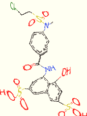 CN(c1ccc(C(=O)Nc2cc(S(=O)(=O)O)cc3cc(S(=O)(=O)O)cc(O)c23)cc1)S(=O)(=O)CCCl